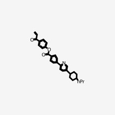 C=CC(=O)c1ccc(OC(=O)c2ccc(-c3ccc(C4CCC(CCC)CC4)cn3)cc2)cc1